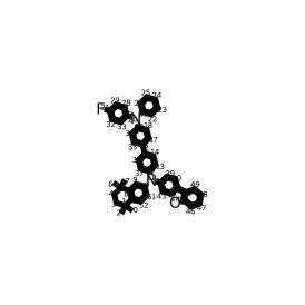 CC1(C)CCC(C)(C)c2cc(N(c3ccc(-c4ccc(N(c5ccccc5)c5ccc(F)cc5)cc4)cc3)c3ccc4c(c3)oc3ccccc34)ccc21